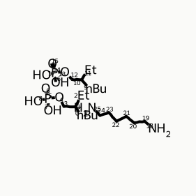 CCCCC(CC)COP(=O)(O)O.CCCCC(CC)COP(=O)(O)O.NCCCCCCN